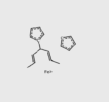 CC=CC(C=CC)[c-]1cccc1.[Fe+2].c1cc[cH-]c1